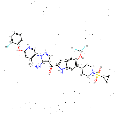 Cc1cc(Oc2ccccc2F)ncc1-n1ncc(C(=O)c2cc3cc(OC(F)F)c(C4CCN(S(=O)(=O)C5CC5)CC4)cc3[nH]2)c1N